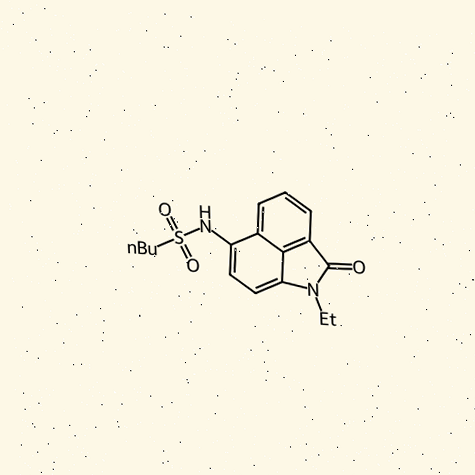 CCCCS(=O)(=O)Nc1ccc2c3c(cccc13)C(=O)N2CC